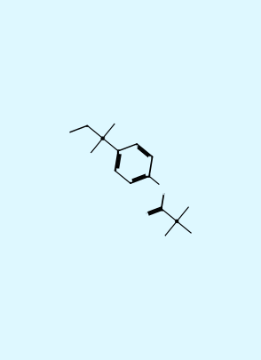 CCC(C)(C)c1ccc(OC(=O)C(C)(C)C)cc1